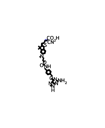 CN(CCOC(=O)NCc1ccc(COc2nc(N)nc3[nH]cnc23)cc1)c1ccc2c(c1)C(C)(C)c1cc(/C=C(\C#N)C(=O)O)sc1-2